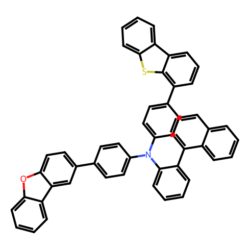 c1ccc(N(c2ccc(-c3ccc4oc5ccccc5c4c3)cc2)c2ccc(-c3cccc4c3sc3ccccc34)cc2)c(-c2cccc3ccccc23)c1